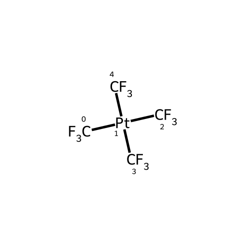 F[C](F)(F)[Pt]([C](F)(F)F)([C](F)(F)F)[C](F)(F)F